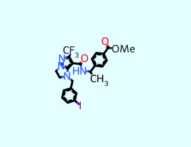 COC(=O)c1ccc(C(C)NC(=O)c2c(C(F)(F)F)nn3c2N(Cc2cccc(I)c2)CC3)cc1